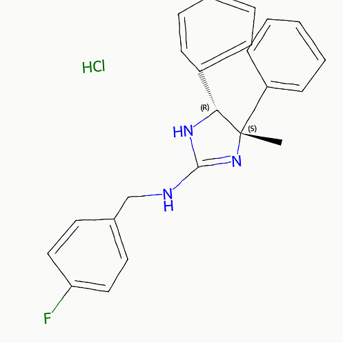 C[C@@]1(c2ccccc2)N=C(NCc2ccc(F)cc2)N[C@@H]1c1ccccc1.Cl